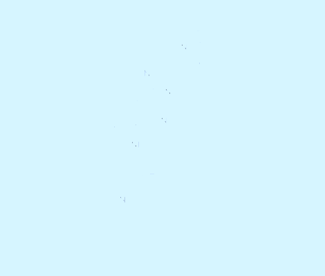 CS(=O)(=O)N1CCC(Nc2cc(C(=O)NCC(O)CN3CCc4ccccc4C3)ncn2)C1